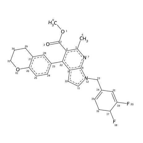 COC(=O)c1c(C)nc2c(ccn2CC2=CCC(F)C(F)=C2)c1-c1ccc2c(c1)CCCO2